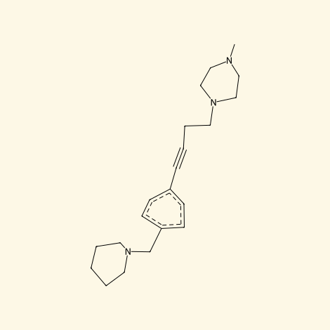 CN1CCN(CCC#Cc2ccc(CN3CCCCC3)cc2)CC1